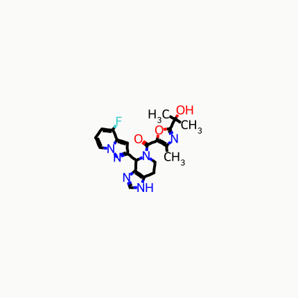 Cc1nc(C(C)(C)O)oc1C(=O)N1CCc2[nH]cnc2C1c1cc2c(F)cccn2n1